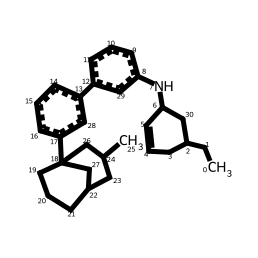 CCC1CC=CC(Nc2cccc(-c3cccc(C45CCCC(CC(C)C4)C5)c3)c2)C1